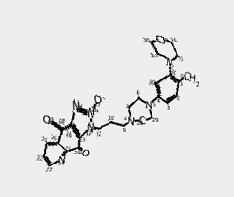 Cc1ccc(N2CCN(CCCn3c4c(n[n+]3[O-])C(=O)c3cccnc3C4=O)CC2)cc1N1CCOCC1